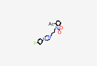 CC(=O)c1cccc2oc(=O)n(CCCCN3CCN(c4ccc(F)cc4)CC3)c12